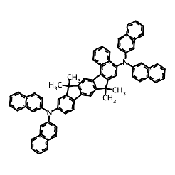 CC1(C)c2cc(N(c3ccc4ccccc4c3)c3ccc4ccccc4c3)ccc2-c2cc3c(cc21)-c1c(cc(N(c2ccc4ccccc4c2)c2ccc4ccccc4c2)c2ccccc12)C3(C)C